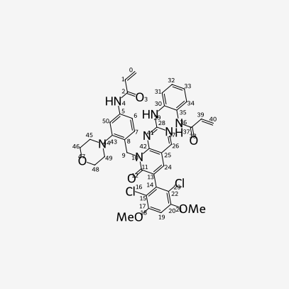 C=CC(=O)Nc1ccc(Cn2c(=O)c(-c3c(Cl)c(OC)cc(OC)c3Cl)cc3cnc(Nc4ccccc4NC(=O)C=C)nc32)c(N2CCOCC2)c1